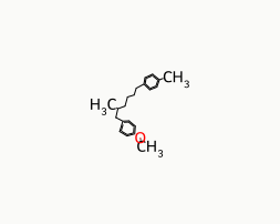 COc1ccc(C[C@@H](C)CCCCc2ccc(C)cc2)cc1